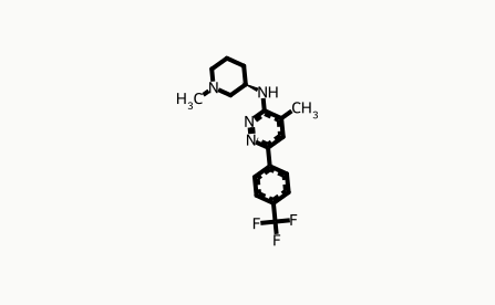 Cc1cc(-c2ccc(C(F)(F)F)cc2)nnc1N[C@@H]1CCCN(C)C1